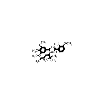 CCCCC(N(NC(=O)c1cccc(OC)c1C)C(=O)c1cc(OC)c(C)c(OC)c1)C(C)(C)C